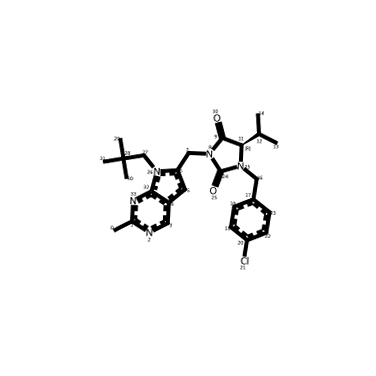 Cc1ncc2cc(CN3C(=O)[C@@H](C(C)C)N(Cc4ccc(Cl)cc4)C3=O)n(CC(C)(C)C)c2n1